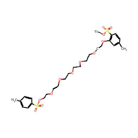 CCOS(=O)(=O)c1ccc(C)cc1OCCOCCOCCOCCOCCOCCOS(=O)(=O)c1ccc(C)cc1